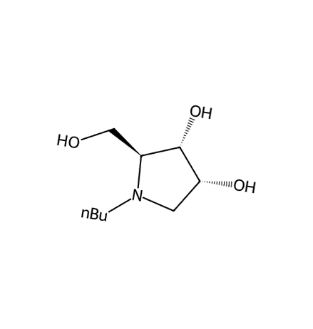 CCCCN1C[C@@H](O)[C@@H](O)[C@@H]1CO